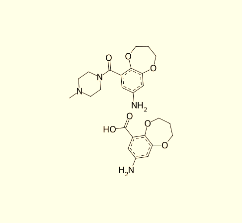 CN1CCN(C(=O)c2cc(N)cc3c2OCCCO3)CC1.Nc1cc2c(c(C(=O)O)c1)OCCCO2